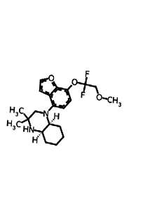 COCC(F)(F)Oc1ccc(N2CC(C)(C)N[C@@H]3CCCC[C@@H]32)c2ccoc12